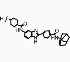 CC1CCC(C(=O)Nc2ccc3[nH]c(-c4ccc(C(=O)NC56CC7CC(CC(C7)C5)C6)cc4)nc3c2)CC1